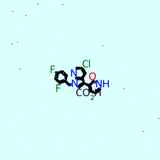 O=C(O)c1c(-c2ccc[nH]c2=O)c2cc(Cl)cnc2n1Cc1ccc(F)cc1F